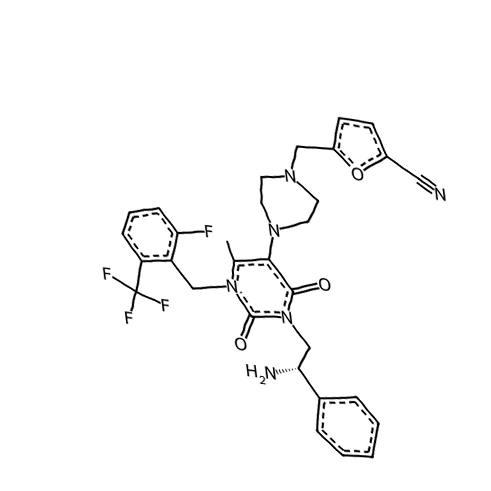 Cc1c(N2CCN(Cc3ccc(C#N)o3)CC2)c(=O)n(C[C@@H](N)c2ccccc2)c(=O)n1Cc1c(F)cccc1C(F)(F)F